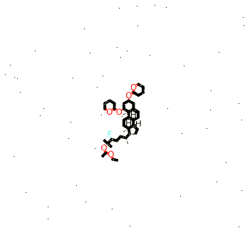 CCOC(C)OC(C)(C)[C@@H](F)CC[C@@H](C)[C@H]1CC[C@H]2[C@@H]3CC=C4C[C@@H](OC5CCCCO5)C[C@H](OC5CCCCO5)[C@]4(C)[C@H]3CC[C@]12C